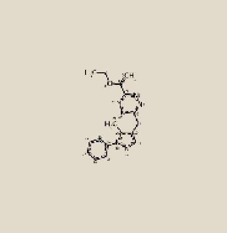 C=C(OCC)c1nnc(Cc2cnn(-c3ccccc3)c2C)nn1